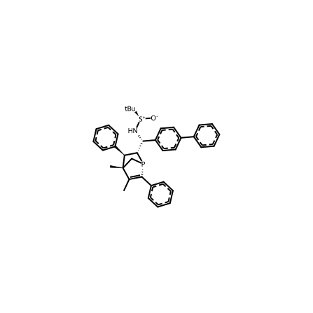 CC1=C(c2ccccc2)[P@]2C[C@@]1(C)[C@@H](c1ccccc1)[C@@H]2[C@H](N[S@+]([O-])C(C)(C)C)c1ccc(-c2ccccc2)cc1